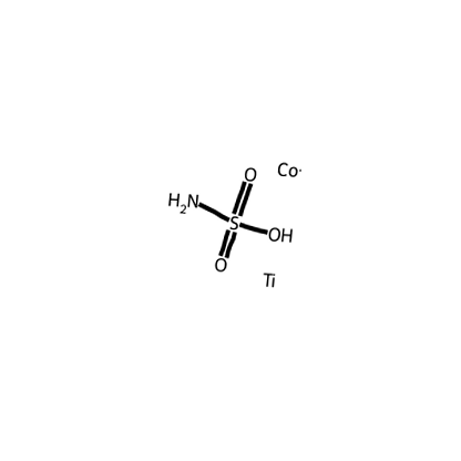 NS(=O)(=O)O.[Co].[Ti]